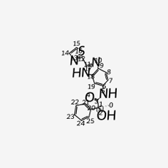 C[C@@](O)(C(=O)Nc1ccc2nc(-c3nccs3)[nH]c2c1)c1ccccc1